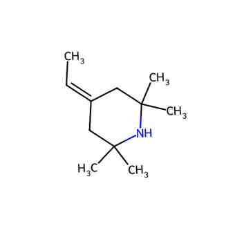 CC=C1CC(C)(C)NC(C)(C)C1